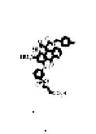 Cc1ccc(COC(=O)c2c3c4c(c(Nc5cccc(S(=O)(=O)CCCC(=O)O)c5)cc(S(=O)(=O)O)c4[nH]c2=O)C(=O)c2ccccc2-3)cc1